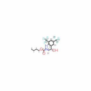 CCCCOC(=O)N[C@@H](C)[C@H](O)c1cc(C(F)(F)F)cc(C(F)(F)F)c1